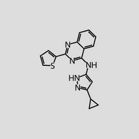 c1csc(-c2nc(Nc3cc(C4CC4)n[nH]3)c3ccccc3n2)c1